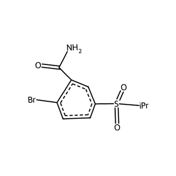 CC(C)S(=O)(=O)c1ccc(Br)c(C(N)=O)c1